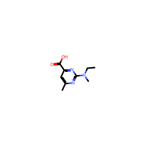 CCN(C)c1nc(C)cc(C(=O)O)n1